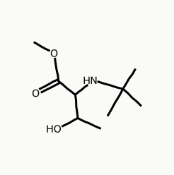 COC(=O)C(NC(C)(C)C)C(C)O